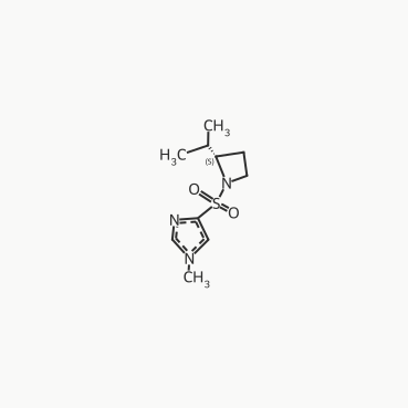 CC(C)[C@@H]1CCN1S(=O)(=O)c1cn(C)cn1